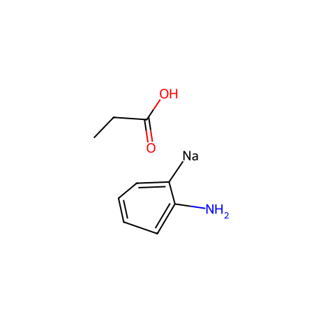 CCC(=O)O.Nc1cccc[c]1[Na]